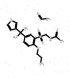 CCCOc1ccc(C(C)(C)c2ccoc2)cc1S(=O)(=O)CNC(N)=O.NC=O